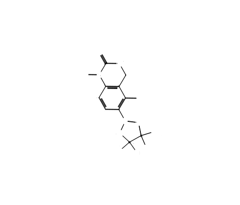 CN1C(=O)OCc2c1ccc(B1OC(C)(C)C(C)(C)O1)c2Cl